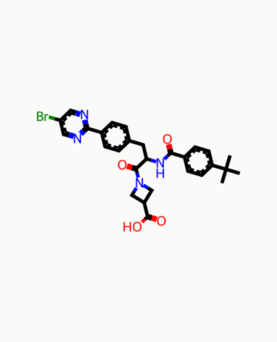 CC(C)(C)c1ccc(C(=O)NC(Cc2ccc(-c3ncc(Br)cn3)cc2)C(=O)N2CC(C(=O)O)C2)cc1